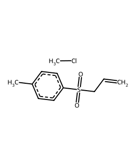 C=CCS(=O)(=O)c1ccc(C)cc1.CCl